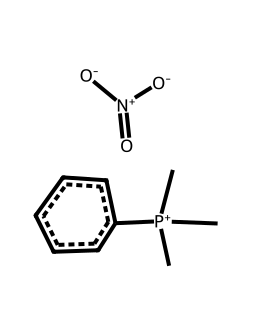 C[P+](C)(C)c1ccccc1.O=[N+]([O-])[O-]